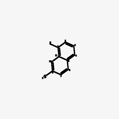 Cc1cccc2ccc([S])cc12